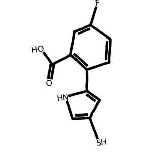 O=C(O)c1cc(F)ccc1-c1cc(S)c[nH]1